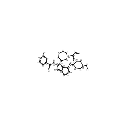 C=CC(=O)N1CCCCC(n2c(NC(=O)c3cccc(C)c3)nc3cccc(OC4CCN(CC)CC4)c32)C1